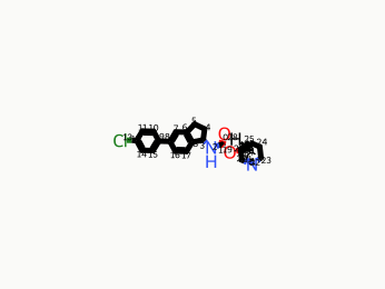 O=C(NC1CCc2cc(-c3ccc(Cl)cc3)ccc21)O[C@H]1CN2CCC1CC2